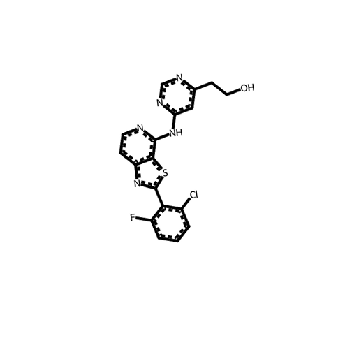 OCCc1cc(Nc2nccc3nc(-c4c(F)cccc4Cl)sc23)ncn1